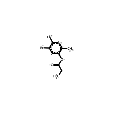 CCC(=O)Oc1cc(Br)c(Cl)nc1C